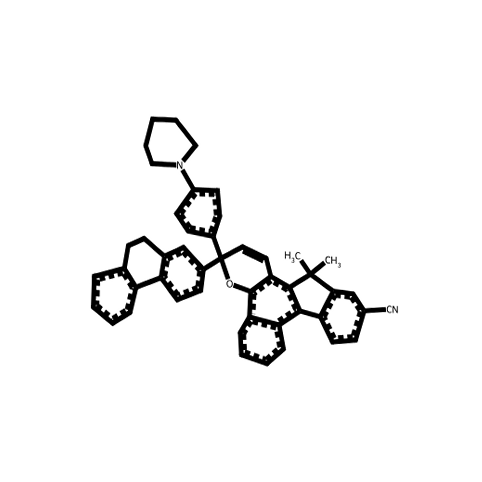 CC1(C)c2cc(C#N)ccc2-c2c1c1c(c3ccccc23)OC(c2ccc(N3CCCCC3)cc2)(c2ccc3c(c2)CCc2ccccc2-3)C=C1